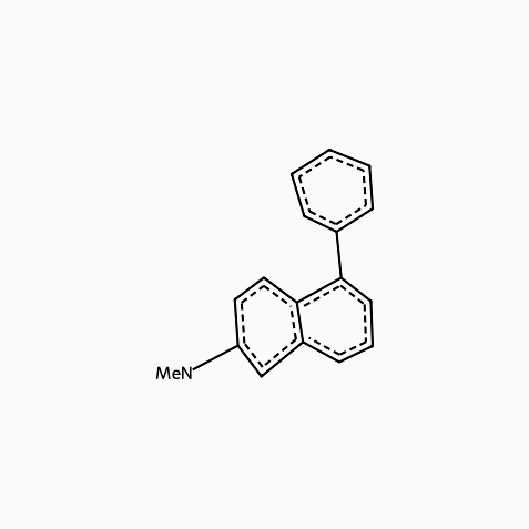 CNc1ccc2c(-c3ccccc3)cccc2c1